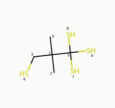 CC(C)(CS)C(S)(S)S